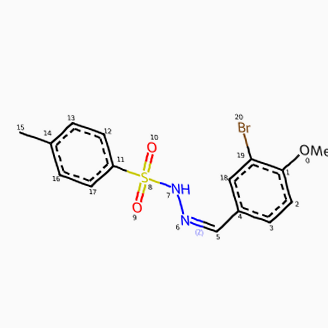 COc1ccc(/C=N\NS(=O)(=O)c2ccc(C)cc2)cc1Br